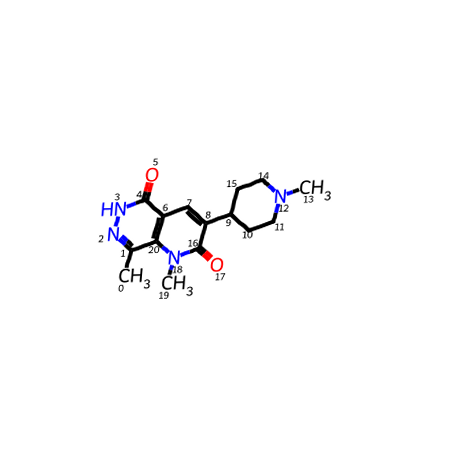 Cc1n[nH]c(=O)c2cc(C3CCN(C)CC3)c(=O)n(C)c12